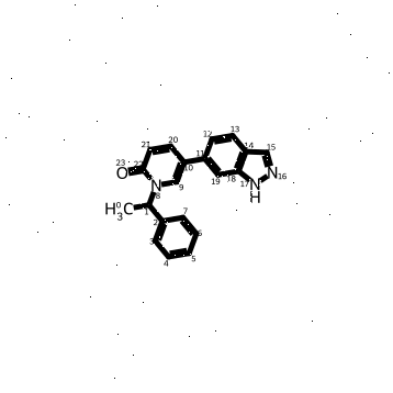 CC(c1ccccc1)n1cc(-c2ccc3cn[nH]c3c2)ccc1=O